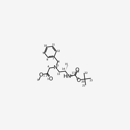 COC(=O)CN(Cc1ccccc1)C[C@H](C)NC(=O)OC(C)(C)C